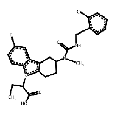 CCC(C(=O)O)n1c2c(c3cc(F)ccc31)CC(N(C)C(=O)NCc1ccccc1Cl)CC2